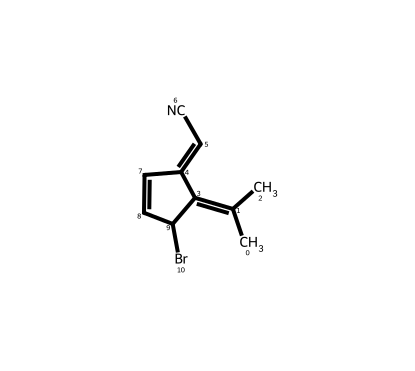 CC(C)=C1C(=CC#N)C=CC1Br